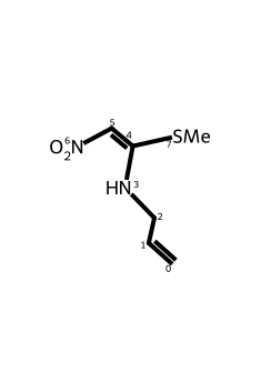 C=CCNC(=C[N+](=O)[O-])SC